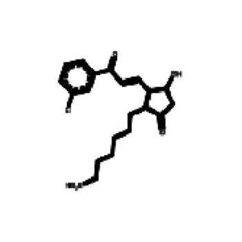 O=C(O)CCCCCCC1C(=O)CC(O)C1C=CC(=O)c1cccc(Cl)c1